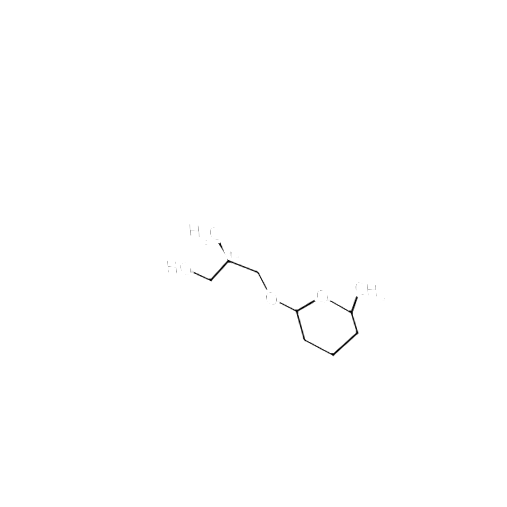 CC1CCCC(OC[C@H](C)CO)O1